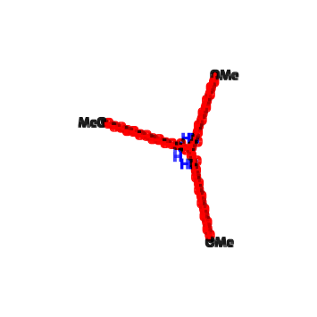 COCCOCCOCCOCCOCCOCCOCCOCCOCCOCCNC(=O)CCOCC(C)(COCCC(=O)NCCOCCOCCOCCOCCOCCOCCOCCOCCOCCOCCOCCOC)COCCC(=O)NCCOCCOCCOCCOCCOCCOCCOCCOCCOCCOCCOCCOC